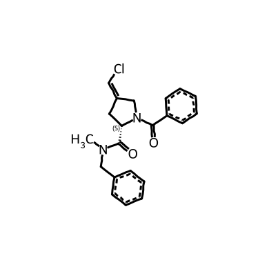 CN(Cc1ccccc1)C(=O)[C@@H]1CC(=CCl)CN1C(=O)c1ccccc1